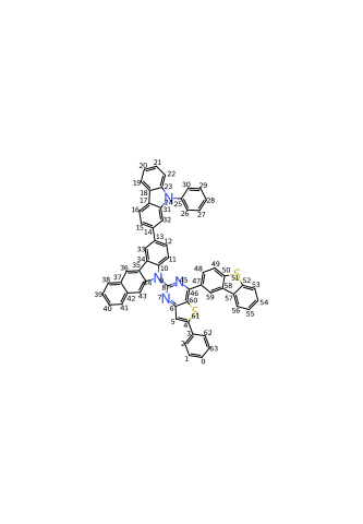 c1ccc(-c2cc3nc(-n4c5ccc(-c6ccc7c8ccccc8n(-c8ccccc8)c7c6)cc5c5cc6ccccc6cc54)nc(-c4ccc5sc6ccccc6c5c4)c3s2)cc1